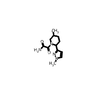 CC1CCC(c2ccn(C)n2)N(C(=O)C(N)=O)C1